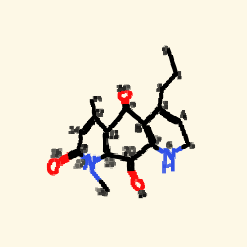 CCCC1=CCNC2=C1C(=O)c1c(C)cc(=O)n(C)c1C2=O